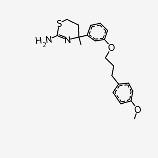 COc1ccc(CCCOc2cccc(C3(C)CCSC(N)=N3)c2)cc1